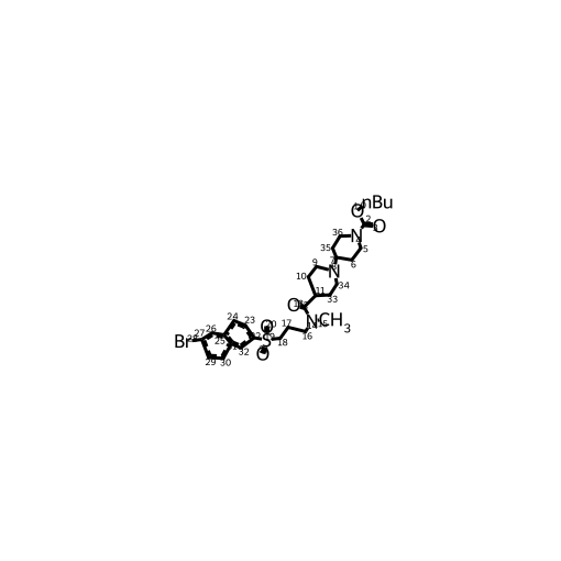 CCCCOC(=O)N1CCC(N2CCC(C(=O)N(C)CCCS(=O)(=O)c3ccc4cc(Br)ccc4c3)CC2)CC1